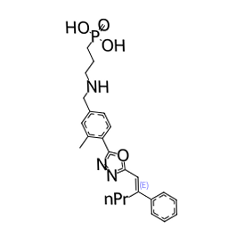 CCC/C(=C\c1nnc(-c2ccc(CNCCCP(=O)(O)O)cc2C)o1)c1ccccc1